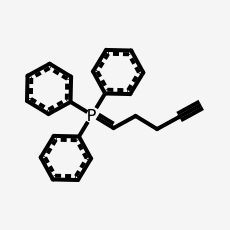 C#CCCC=P(c1ccccc1)(c1ccccc1)c1ccccc1